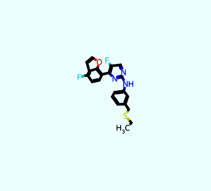 CCSCc1cccc(Nc2ncc(F)c(-c3ccc(F)c4ccoc34)n2)c1